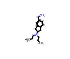 CCCN(CCC)C1Cc2ccc(CN)cc2C1